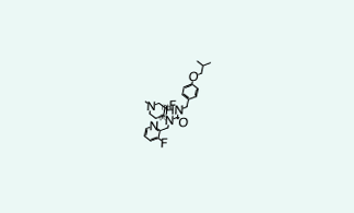 CC(C)COc1ccc(CNC(=O)N(Cc2ncccc2F)[C@@H]2CCN(C)C[C@@H]2F)cc1